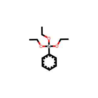 CCO[Si](OCC)(OCC)c1cc[c]cc1